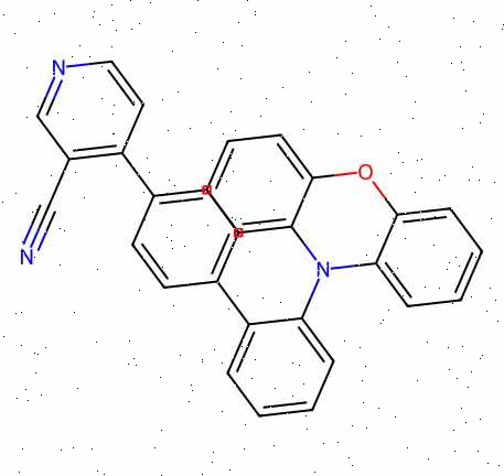 N#Cc1cnccc1-c1ccc(-c2ccccc2N2c3ccccc3Oc3ccccc32)cc1